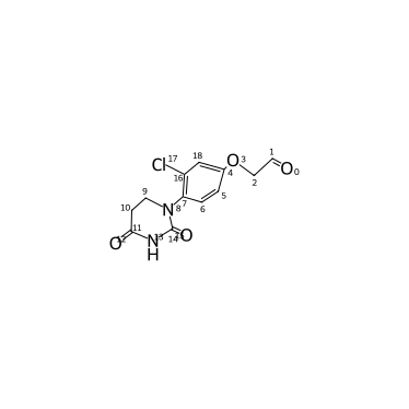 O=CCOc1ccc(N2CCC(=O)NC2=O)c(Cl)c1